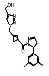 O=C(N1N=CCC1c1cc(F)cc(F)c1)C12CC(Cn3cc(CO)nn3)(C1)C2